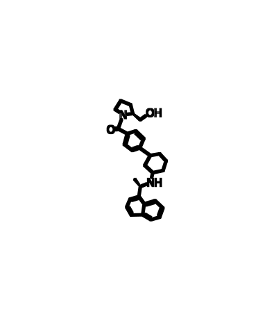 C[C@@H](NC1CCCC(c2ccc(C(=O)N3CCC[C@H]3CO)cc2)C1)c1cccc2ccccc12